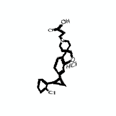 Cl.O=C(O)CCN1CCC2(CC1)COc1cc(C3CC3c3ccccc3Cl)ccc12